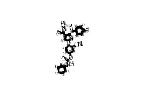 N#C[C@H]1C[C@@H](OC(=O)Nc2ccccc2)CC[C@@H]1n1cc(C(N)=O)c(Nc2ccc(F)cc2)n1